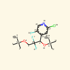 CC(C)(C)[Si](C)(C)OCC(F)(F)C(O[Si](C)(C)C(C)(C)C)c1cc(Cl)ncc1F